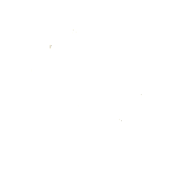 CC1CC(CC2CCC(NC#N)C(C)C2)CCC1NC#N